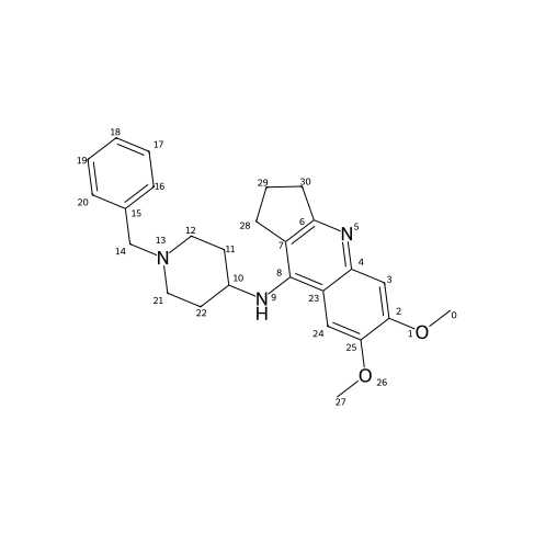 COc1cc2nc3c(c(NC4CCN(Cc5ccccc5)CC4)c2cc1OC)CCC3